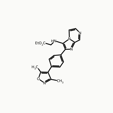 CCOC(=O)CNc1c(-c2ccc(-c3c(C)noc3C)cc2)nc2cnccn12